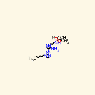 CCCCCCn1ccnc1/N=N/c1cnn(CCCNC(=O)OC(C)(C)C)c1N